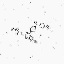 CCc1cc2c(N3CCN(C(=O)c4ccc(OC(F)(F)F)cc4)CC3)nc(SCC(=O)OC)nc2s1